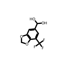 OC(O)c1cc2c(c(C(F)(F)F)c1)OCO2